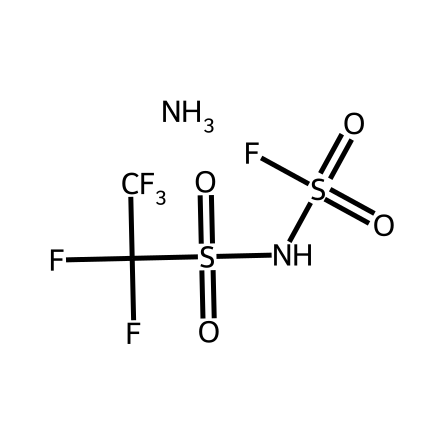 N.O=S(=O)(F)NS(=O)(=O)C(F)(F)C(F)(F)F